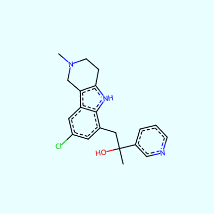 CN1CCc2[nH]c3c(CC(C)(O)c4cccnc4)cc(Cl)cc3c2C1